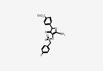 CCOC(=O)c1ccc(C2OC(N)=C(OS(=O)(=O)Cc3ccc(F)cc3)C2=O)cc1